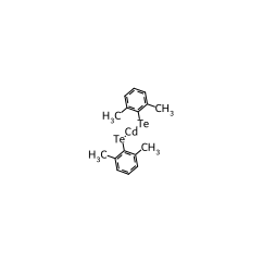 Cc1cccc(C)c1[Te][Cd][Te]c1c(C)cccc1C